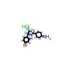 Cl.NC1CCC(C(=O)NC(F)(c2ccc(Br)cc2)C(F)F)CC1